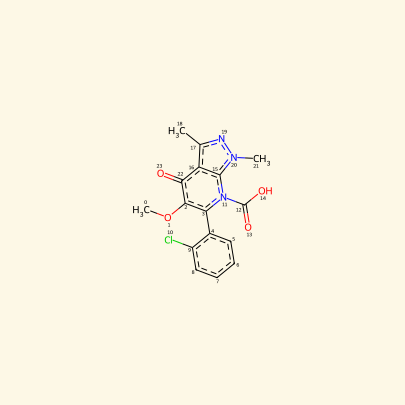 COc1c(-c2ccccc2Cl)n(C(=O)O)c2c(c(C)nn2C)c1=O